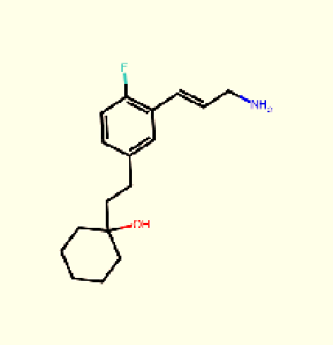 NCC=Cc1cc(CCC2(O)CCCCC2)ccc1F